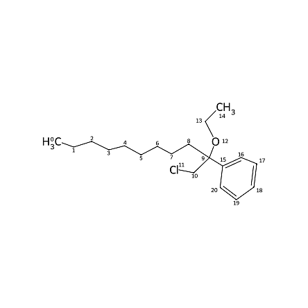 CCCCCCCCCC(CCl)(OCC)c1ccccc1